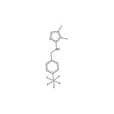 Cc1csc(NCc2ccc(S(F)(F)(F)(F)F)cc2)c1C